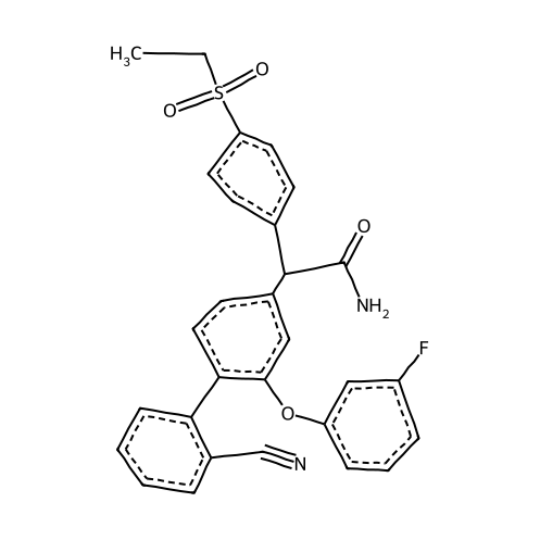 CCS(=O)(=O)c1ccc(C(C(N)=O)c2ccc(-c3ccccc3C#N)c(Oc3cccc(F)c3)c2)cc1